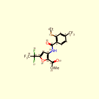 CCSc1cc(C(F)(F)F)ccc1C(=O)Nc1cc(C(F)(F)C(F)(F)F)oc1C(=O)OC